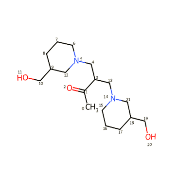 CC(=O)C(CN1CCCC(CO)C1)CN1CCCC(CO)C1